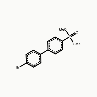 COP(=O)(OC)c1ccc(-c2ccc(Br)cc2)cc1